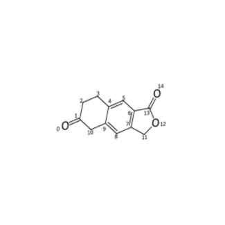 O=C1CCc2cc3c(cc2C1)COC3=O